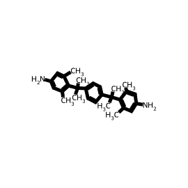 Cc1cc(N)cc(C)c1C(C)(C)c1ccc(C(C)(C)c2c(C)cc(N)cc2C)cc1